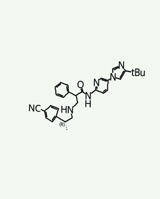 C[C@@H](CNCC(C(=O)Nc1ccc(-n2cnc(C(C)(C)C)c2)cn1)c1ccccc1)c1ccc(C#N)cc1